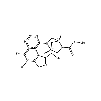 CC(C)(C)OC(=O)N1C[C@H]2C[C@@H]1CN2c1ncnc2c(F)c(Br)c3c(c12)C(CC#N)OC3